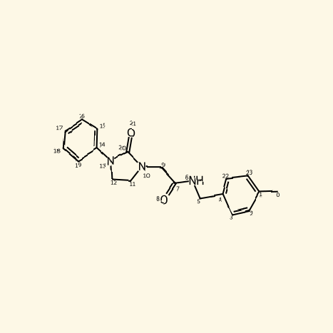 Cc1ccc(CNC(=O)CN2CCN(c3ccccc3)C2=O)cc1